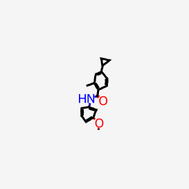 COc1cccc(NC(=O)c2ccc(C3CC3)cc2C)c1